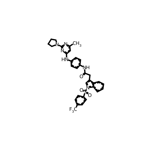 Cc1cc(Nc2ccc(NC(=O)Cc3cn(S(=O)(=O)c4ccc(C(F)(F)F)cc4)c4ccccc34)cc2)nc(N2CCCC2)n1